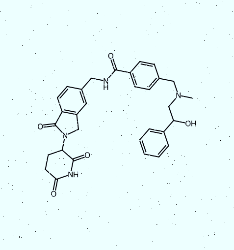 CN(Cc1ccc(C(=O)NCc2ccc3c(c2)CN(C2CCC(=O)NC2=O)C3=O)cc1)CC(O)c1ccccc1